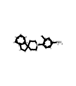 Cc1cc(N)ccc1N1CCC2(CCc3ccccc32)CC1